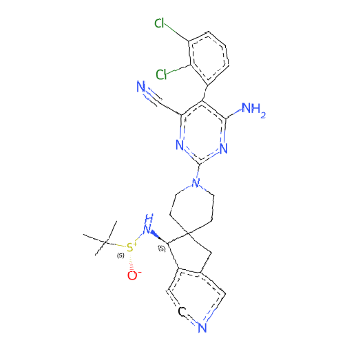 CC(C)(C)[S@@+]([O-])N[C@@H]1c2ccncc2CC12CCN(c1nc(N)c(-c3cccc(Cl)c3Cl)c(C#N)n1)CC2